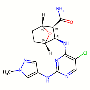 Cn1cc(Nc2ncc(Cl)c(N[C@@H]3[C@H](C(N)=O)[C@H]4CC[C@@H]3O4)n2)cn1